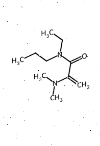 C=C(C(=O)N(CC)CCC)N(C)C